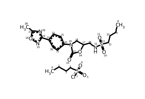 CCCCS(=O)(=O)Cl.CCCCS(=O)(=O)NCC1CN(c2ccc(-c3noc(C)n3)cc2)C(=O)O1